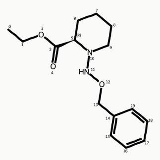 CCOC(=O)[C@H]1CCCCN1NOCc1ccccc1